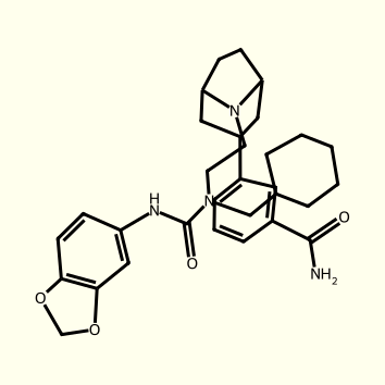 NC(=O)c1cccc(C2CC3CCC(C2)N3CCN(CC2CCCCC2)C(=O)Nc2ccc3c(c2)OCO3)c1